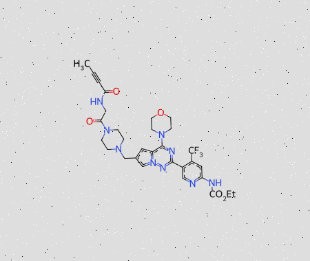 CC#CC(=O)NCC(=O)N1CCN(Cc2cc3c(N4CCOCC4)nc(-c4cnc(NC(=O)OCC)cc4C(F)(F)F)nn3c2)CC1